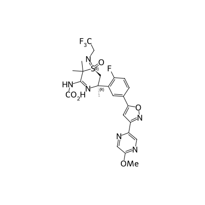 COc1cnc(-c2cc(-c3ccc(F)c([C@]4(C)C[S@](=O)(=NCC(F)(F)F)C(C)(C)C(NC(=O)O)=N4)c3)on2)cn1